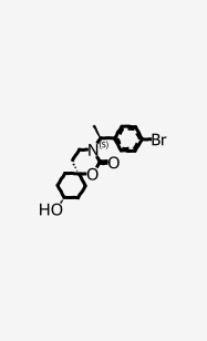 C[C@@H](c1ccc(Br)cc1)N1CC[C@]2(CC[C@@H](O)CC2)OC1=O